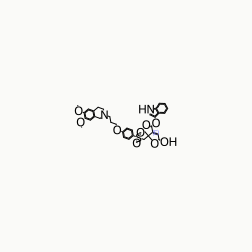 COc1cc2c(cc1OC)CN(CCCOc1ccc(S(=O)(=O)CC(C)(C)/C(=C\C(=O)O)C(=O)Oc3c[nH]c4ccccc34)cc1)CC2